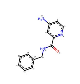 Nc1ccnc(C(=O)NCc2ccccc2)c1